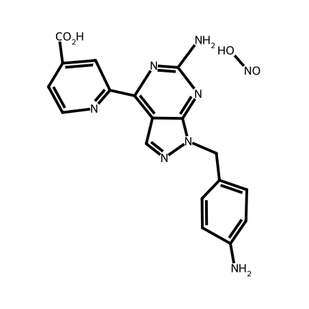 Nc1ccc(Cn2ncc3c(-c4cc(C(=O)O)ccn4)nc(N)nc32)cc1.O=NO